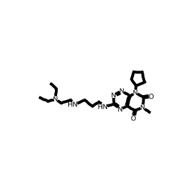 CCN(CC)CCNCCCNc1nnc2c(n1)c(=O)n(C)c(=O)n2C1CCCC1